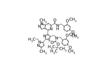 CCn1nc(C)cc1-c1nc(-c2nc(C(=O)NCc3ccc(OC)cc3OC)cc3c2cnn3C)c(CN(Cc2ccc(OC)cc2OC)C(=O)OC(C)(C)C)s1